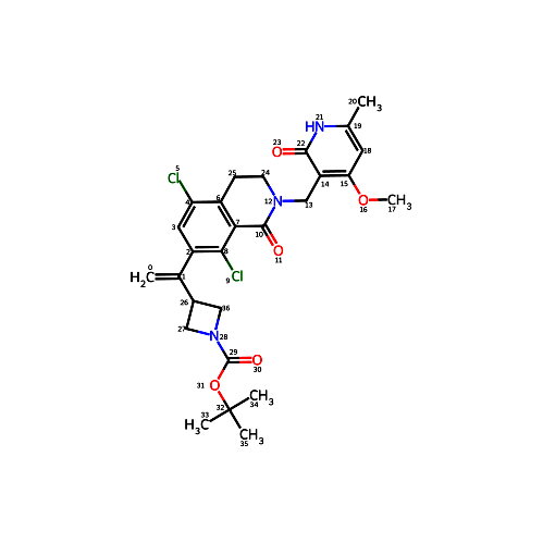 C=C(c1cc(Cl)c2c(c1Cl)C(=O)N(Cc1c(OC)cc(C)[nH]c1=O)CC2)C1CN(C(=O)OC(C)(C)C)C1